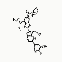 COc1cc(C(=O)N2CC3CCC2C3N)cc2nc(-c3cc4ccc(-c5cnc(F)c(O)c5)nc4n3CC3CC3)n(C)c12